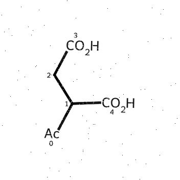 CC(=O)C(CC(=O)O)C(=O)O